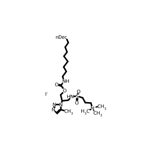 CCCCCCCCCCCCCCCCCCNC(=O)OCC(CNS(=O)(=O)CCC[N+](C)(C)C)n1nncc1C.[I-]